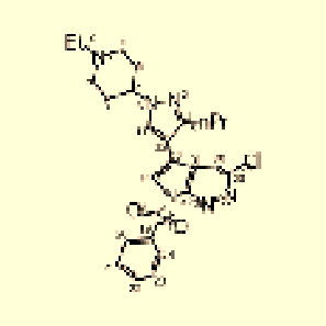 CCCc1nn(C2CCN(CC)CC2)cc1-c1cn(S(=O)(=O)c2ccccc2)c2nnc(Cl)cc12